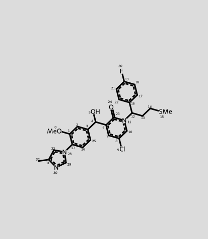 COc1cc(C(O)c2cc(Cl)cn(C(CCSC)c3ccc(F)cc3)c2=O)ccc1-n1cnc(C)c1